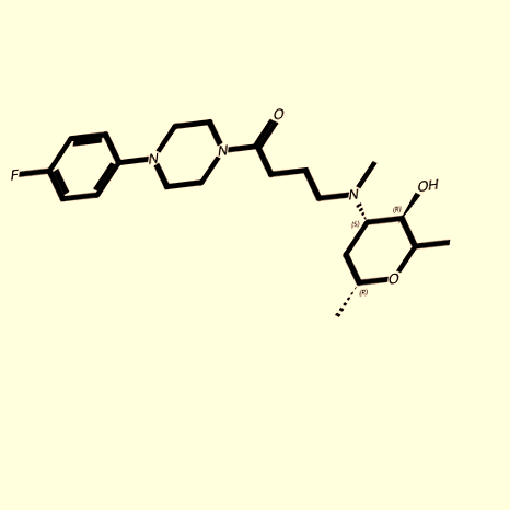 CC1O[C@H](C)C[C@H](N(C)CCCC(=O)N2CCN(c3ccc(F)cc3)CC2)[C@H]1O